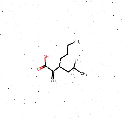 C=C(C(=O)O)C(CCCC)CC(C)C